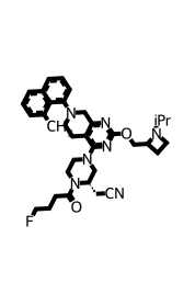 Cc1cccc2cccc(N3CCc4c(nc(OCC5CCN5C(C)C)nc4N4CCN(C(=O)CCCF)[C@@H](CC#N)C4)C3)c12